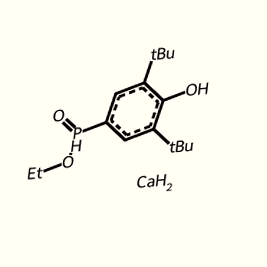 CCO[PH](=O)c1cc(C(C)(C)C)c(O)c(C(C)(C)C)c1.[CaH2]